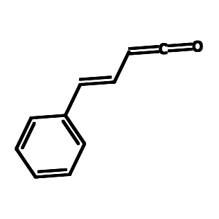 O=C=CC=Cc1ccccc1